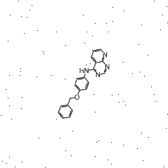 c1ccc(COc2ccc(Nc3ncnc4ncccc34)cc2)cc1